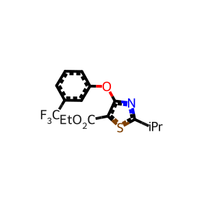 CCOC(=O)c1sc(C(C)C)nc1Oc1cccc(C(F)(F)F)c1